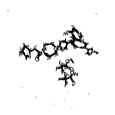 Cn1cc(-c2cc(-c3ccc(N4CCN(C(=O)Cc5ccc(F)cn5)CC4)nc3)c3c(C#N)cnn3c2)cn1.O=C(O)C(F)(F)F.O=C(O)C(F)(F)F